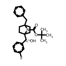 CC(C)(C)OC(=O)N1C2(Cc3ccccc3)CCC1([C@H](O)c1cccc(F)c1)CC2